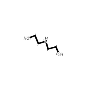 OCCBCCO